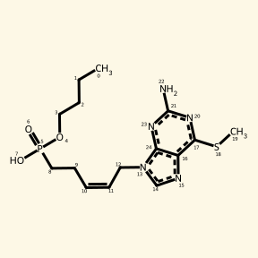 CCCCOP(=O)(O)CC/C=C\Cn1cnc2c(SC)nc(N)nc21